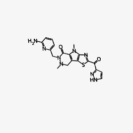 CN1Cc2c(n(C)c3nc(C(=O)c4cc[nH]n4)sc23)C(=O)N1Cc1cccc(N)n1